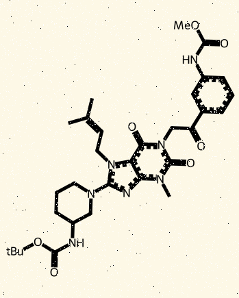 COC(=O)Nc1cccc(C(=O)Cn2c(=O)c3c(nc(N4CCCC(NC(=O)OC(C)(C)C)C4)n3CC=C(C)C)n(C)c2=O)c1